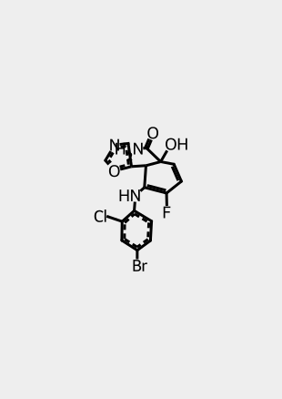 NC(=O)C1(O)C=CC(F)=C(Nc2ccc(Br)cc2Cl)C1c1cnco1